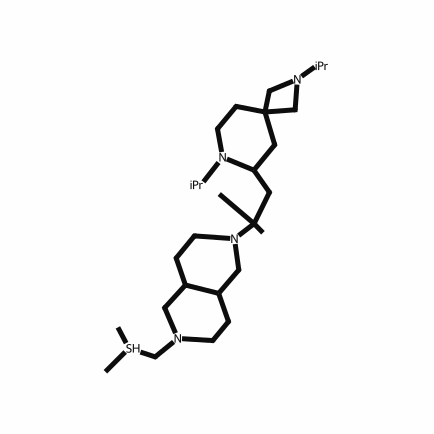 CC(C)N1CC2(CCN(C(C)C)C(CC(C)(C)N3CCC4CN(C[SH](C)C)CCC4C3)C2)C1